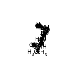 CN(C)CC[C@H](CSc1ccccc1)Nc1ncc(S(=O)(=O)NC(=O)c2csc(N3CCc4cccc(C(=O)Nc5cn6ncccc6n5)c4C3)n2)cc1[N+](=O)[O-]